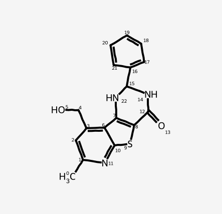 Cc1cc(CO)c2c3c(sc2n1)C(=O)NC(c1ccccc1)N3